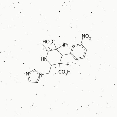 CCC1(C(=O)O)C(Cn2ccnc2)NC(C)C(C(=O)O)(C(C)C)C1c1cccc([N+](=O)[O-])c1